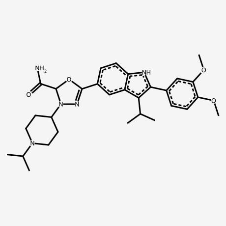 COc1ccc(-c2[nH]c3ccc(C4=NN(C5CCN(C(C)C)CC5)C(C(N)=O)O4)cc3c2C(C)C)cc1OC